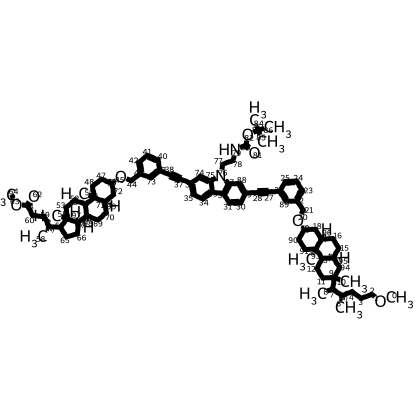 COCCC[C@@H](C)C(C)C1(C)CCC2[C@@H](CC[C@@H]3C[C@H](OCc4cccc(C#Cc5ccc6c7ccc(C#Cc8cccc(CO[C@@H]9CCC%10(C)C%11CCC%12(C)C([C@H](C)CCC(=O)OC)CC[C@H]%12[C@@H]%11CC[C@@H]%10C9)c8)cc7n(CCNC(=O)OC(C)(C)C)c6c5)c4)CCC23C)C1